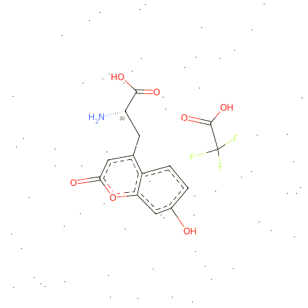 N[C@@H](Cc1cc(=O)oc2cc(O)ccc12)C(=O)O.O=C(O)C(F)(F)F